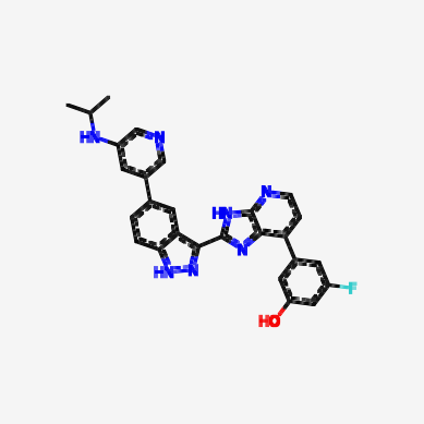 CC(C)Nc1cncc(-c2ccc3[nH]nc(-c4nc5c(-c6cc(O)cc(F)c6)ccnc5[nH]4)c3c2)c1